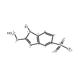 CCn1c(OC(=O)O)nc2cc(S(=O)(=O)C(F)(F)F)ccc21